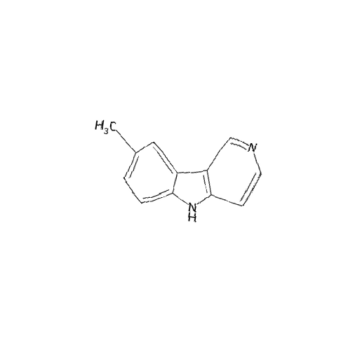 Cc1ccc2[nH]c3ccncc3c2c1